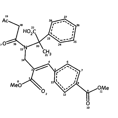 COC(=O)C(=Cc1ccc(C(=O)OC)cc1)CN(C(=O)CC(C)=O)C(C)(C(=O)O)c1ccccc1